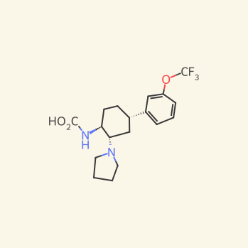 O=C(O)N[C@H]1CC[C@H](c2cccc(OC(F)(F)F)c2)C[C@@H]1N1CCCC1